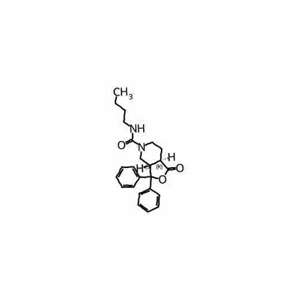 CCCCNC(=O)N1CC[C@H]2C(=O)OC(c3ccccc3)(c3ccccc3)[C@@H]2C1